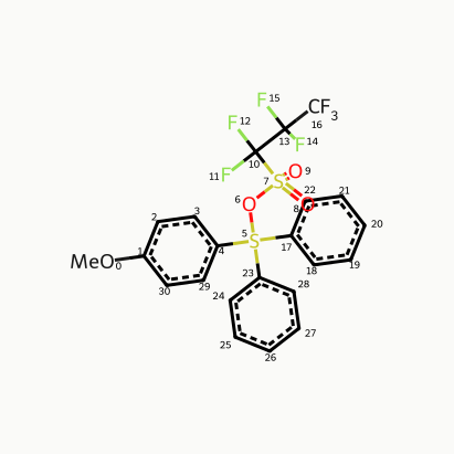 COc1ccc(S(OS(=O)(=O)C(F)(F)C(F)(F)C(F)(F)F)(c2ccccc2)c2ccccc2)cc1